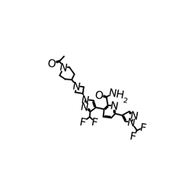 CC(=O)N1CCC(N2CC(n3cc(-c4ccc(-c5cnn(C(F)F)c5)nc4C(N)=O)c(C(F)F)n3)C2)CC1